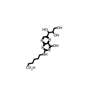 O=C(O)CCCCCNc1nc(O)c2nc(C(O)C(O)CO)cnc2n1